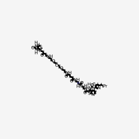 Cc1cc(CC(C)C)ncc1N1C(=O)Nc2c(C(=O)NCCNC(=O)/C=C/CNC(=O)CCCC(=O)NCCCOCCOCCOCCCNCCC(=O)CC[C@@H]3SC[C@@H]4NC(=O)N[C@@H]43)sc3nccc1c23